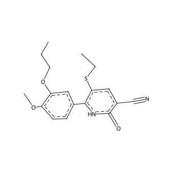 CCCOc1cc(-c2[nH]c(=O)c(C#N)cc2SCC)ccc1OC